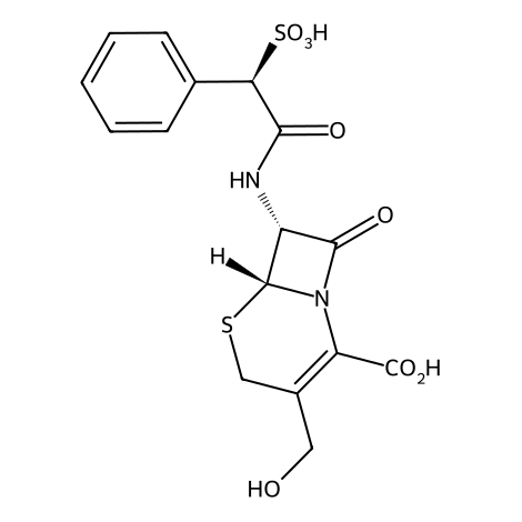 O=C(O)C1=C(CO)CS[C@@H]2[C@H](NC(=O)[C@@H](c3ccccc3)S(=O)(=O)O)C(=O)N12